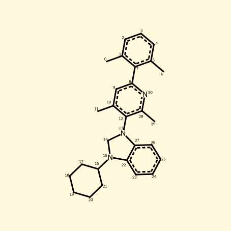 Cc1cccc(C)c1-c1cc(C)c(N2CN(C3CCCCC3)c3ccccc32)c(C)n1